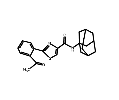 CC(=O)c1ccccc1-c1nc(C(=O)NC23CC4CC(CC(C4)C2)C3)cs1